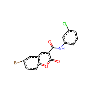 O=C(Nc1cccc(Cl)c1)c1cc2cc(Br)ccc2oc1=O